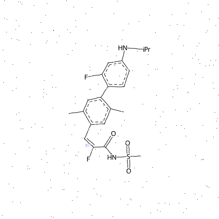 Cc1cc(-c2ccc(NC(C)C)cc2F)c(C)cc1/C=C(/F)C(=O)NS(C)(=O)=O